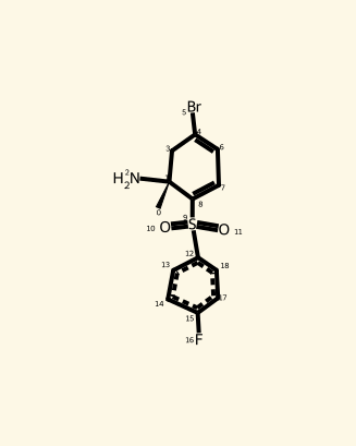 C[C@@]1(N)CC(Br)=CC=C1S(=O)(=O)c1ccc(F)cc1